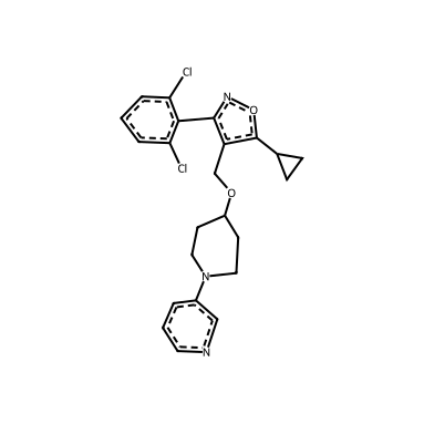 Clc1cccc(Cl)c1-c1noc(C2CC2)c1COC1CCN(c2cccnc2)CC1